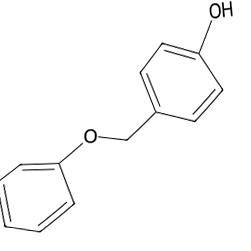 Oc1ccc(COc2ccccc2)cc1